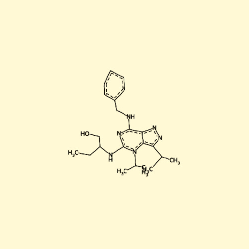 CCC(CO)Nc1nc(NCc2ccccc2)c2nnc(C(C)C)c-2n1C(C)C